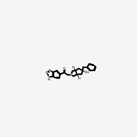 O=C(CN1C[C@@H]2C[C@](O)(Cc3ccccc3)C[C@@H]2C1)c1ccc2[nH]nnc2c1